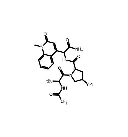 CCCC1CC(C(=O)NC(C(N)=O)c2cc(=O)n(C)c3ccccc23)N(C(=O)C(NC(=O)C(F)(F)F)C(C)(C)C)C1